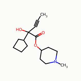 CC#CC(O)(C(=O)OC1CCN(C)CC1)C1CCCC1